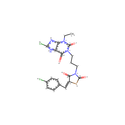 CCn1c(=O)n(CCCN2C(=O)SC(=Cc3ccc(F)cc3)C2=O)c(=O)c2[nH]c(Cl)nc21